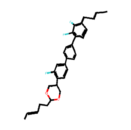 C/C=C/CCC1OCC(c2ccc(-c3ccc(-c4ccc(CCCC)c(F)c4F)cc3)cc2F)CO1